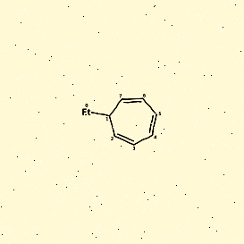 CCC1C=CC=CC=C1